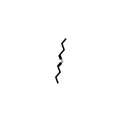 CCCC=S=CCCC